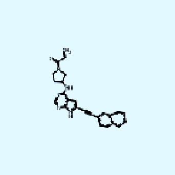 C=CC(=O)N1CCC(Nc2ncnc3[nH]c(C#Cc4ccc5ccccc5c4)cc23)C1